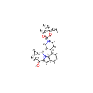 CC(=O)c1cc2cccc(C3CCN(C(=O)OC(C)(C)C)CC3)c2n1CC1CC1